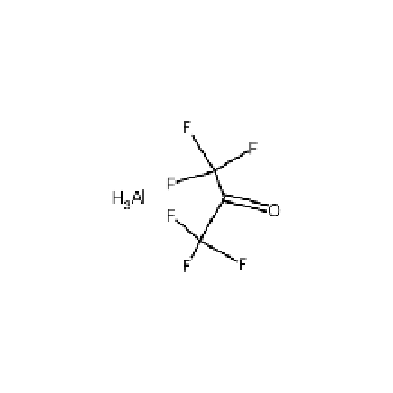 O=C(C(F)(F)F)C(F)(F)F.[AlH3]